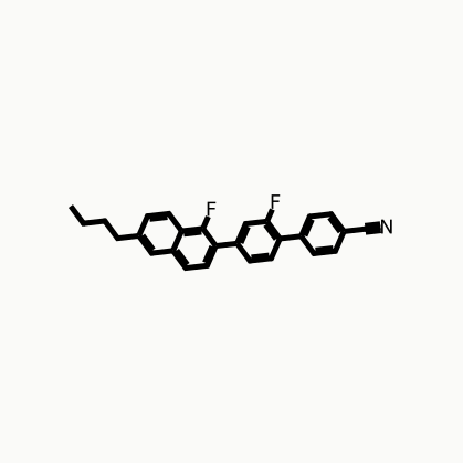 CCCCc1ccc2c(F)c(-c3ccc(-c4ccc(C#N)cc4)c(F)c3)ccc2c1